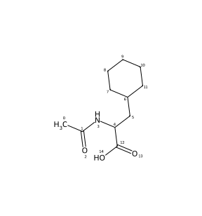 CC(=O)NC(CC1CCCCC1)C(=O)O